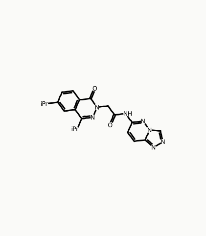 CC(C)c1ccc2c(=O)n(CC(=O)Nc3ccc4nncn4n3)nc(C(C)C)c2c1